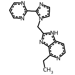 CCc1nccc2[nH]c(Cn3ccnc3-c3ncccn3)nc12